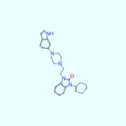 O=c1n(CCN2CCN(c3ccc4cc[nH]c4c3)CC2)c2ccccc2n1C1=CCCCC1